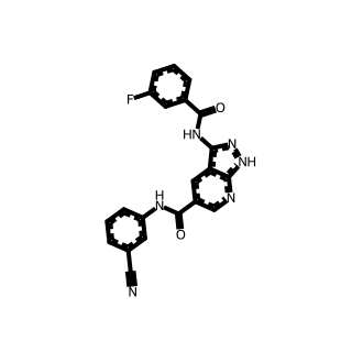 N#Cc1cccc(NC(=O)c2cnc3[nH]nc(NC(=O)c4cccc(F)c4)c3c2)c1